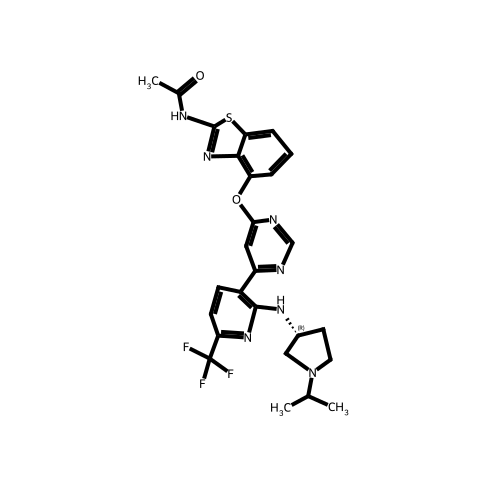 CC(=O)Nc1nc2c(Oc3cc(-c4ccc(C(F)(F)F)nc4N[C@@H]4CCN(C(C)C)C4)ncn3)cccc2s1